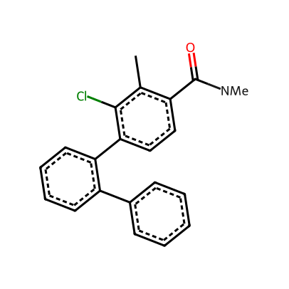 CNC(=O)c1ccc(-c2ccccc2-c2ccccc2)c(Cl)c1C